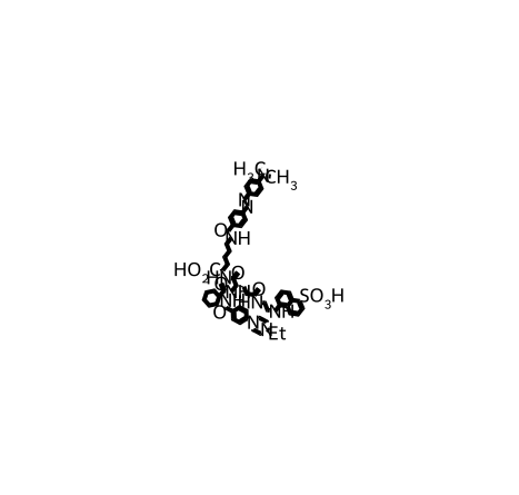 CCN1CCN(c2ccc(C(=O)NC3(C(=O)N[C@@H](CCC(=O)NCCNc4cccc5c(S(=O)(=O)O)cccc45)C(=O)N[C@@H](CCCCNC(=O)c4ccc(/N=N/c5ccc(N(C)C)cc5)cc4)C(=O)O)CCCCC3)cc2)CC1